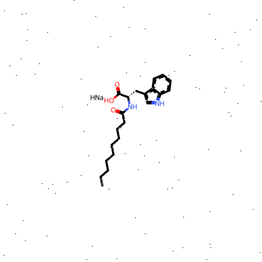 CCCCCCCCCC(=O)N[C@@H](Cc1c[nH]c2ccccc12)C(=O)O.[NaH]